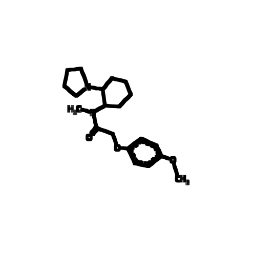 COc1ccc(OCC(=O)N(C)C2CCCCC2N2CCCC2)cc1